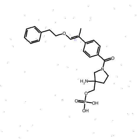 C/C(=C\OCCc1ccccc1)c1ccc(C(=O)N2CCC(N)(COP(=O)(O)O)C2)cc1